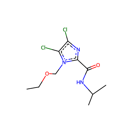 CCOCn1c(C(=O)NC(C)C)nc(Cl)c1Cl